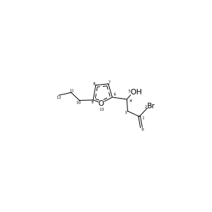 C=C(Br)CC(O)c1ccc(CCC)o1